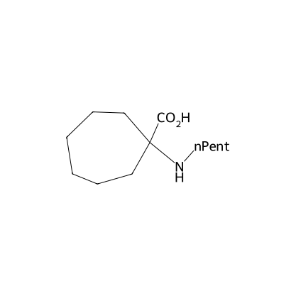 CCCCCNC1(C(=O)O)CCCCCC1